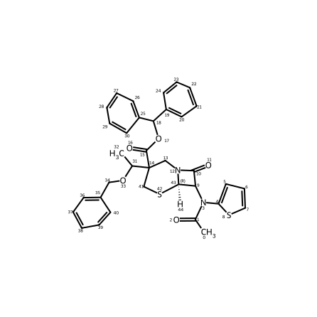 CC(=O)N(c1cccs1)C1C(=O)N2CC(C(=O)OC(c3ccccc3)c3ccccc3)(C(C)OCc3ccccc3)CS[C@H]12